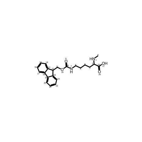 CNC(CCCCNC(=O)OCC1c2ccccc2-c2ccccc21)C(=O)O